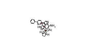 CC(=O)c1c([C@H]2C[C@H]3CC[C@@H](C2)N3C(=O)c2n[nH]c(N)n2)nc2c(-c3ccc(-c4ccccc4)nc3)cnn2c1N